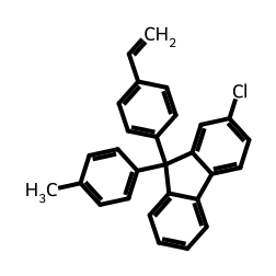 C=Cc1ccc(C2(c3ccc(C)cc3)c3ccccc3-c3ccc(Cl)cc32)cc1